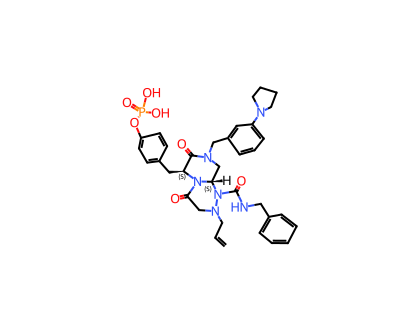 C=CCN1CC(=O)N2[C@@H](Cc3ccc(OP(=O)(O)O)cc3)C(=O)N(Cc3cccc(N4CCCC4)c3)C[C@@H]2N1C(=O)NCc1ccccc1